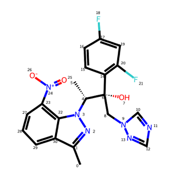 Cc1nn([C@H](C)[C@](O)(Cn2cncn2)c2ccc(F)cc2F)c2c([N+](=O)[O-])cccc12